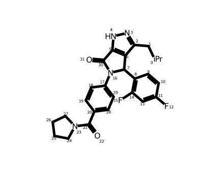 CC(C)Cc1n[nH]c2c1C(c1ccc(F)cc1F)N(c1ccc(C(=O)N3CCCC3)cc1)C2=O